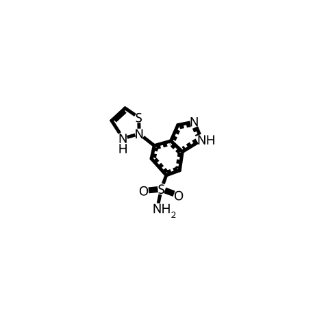 NS(=O)(=O)c1cc(N2NC=CS2)c2cn[nH]c2c1